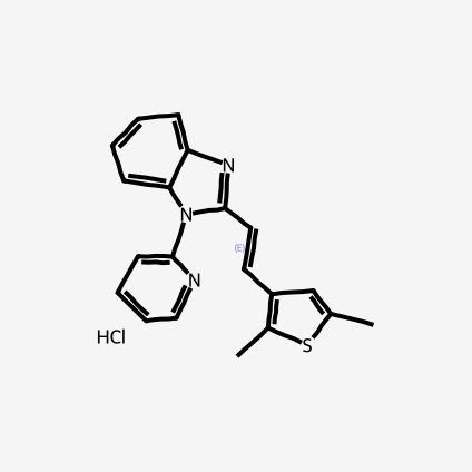 Cc1cc(/C=C/c2nc3ccccc3n2-c2ccccn2)c(C)s1.Cl